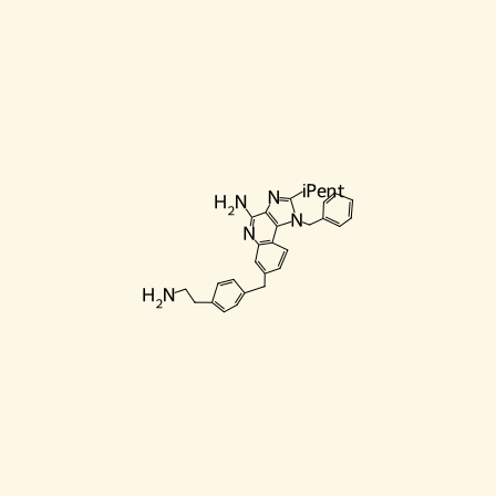 CCCC(C)c1nc2c(N)nc3cc(Cc4ccc(CCN)cc4)ccc3c2n1Cc1ccccc1